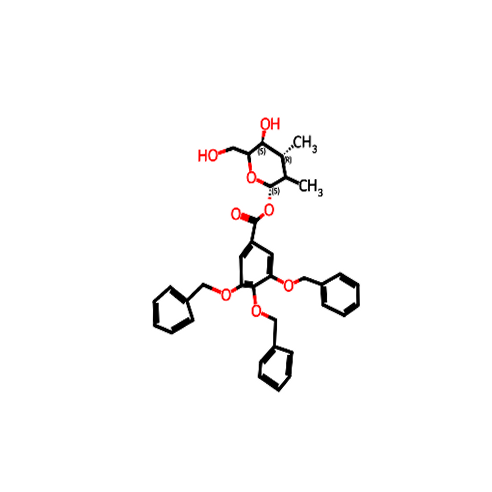 CC1[C@H](OC(=O)c2cc(OCc3ccccc3)c(OCc3ccccc3)c(OCc3ccccc3)c2)OC(CO)[C@@H](O)[C@@H]1C